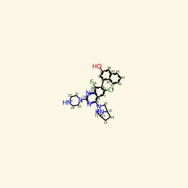 Oc1cc(-c2c(Cl)cc3c(N4CC5CCC(C4)N5)nc(N4CCNCC4)nc3c2F)c2ccccc2c1